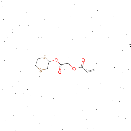 C=CC(=O)OCC(=O)OC1CSCCS1